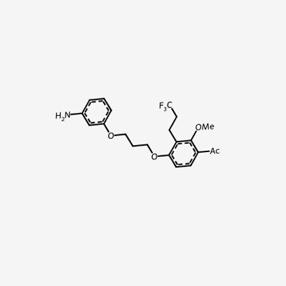 COc1c(C(C)=O)ccc(OCCCOc2cccc(N)c2)c1CCC(F)(F)F